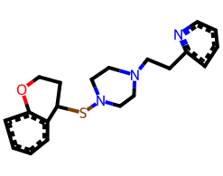 c1ccc(CCN2CCN(SC3CCOc4ccccc43)CC2)nc1